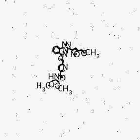 COCc1cc(-c2nnc3c4ccccc4c(OCc4ccc(C(=O)NC(COC)COC)cn4)nn23)no1